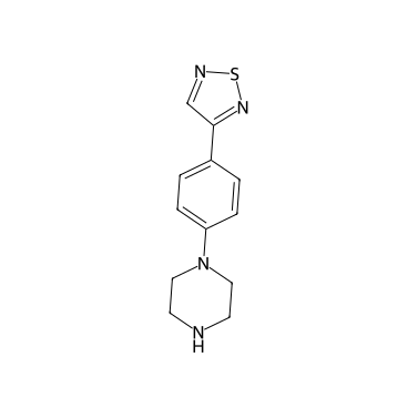 c1cc(N2CCNCC2)ccc1-c1cnsn1